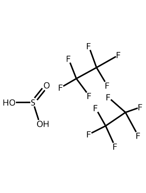 FC(F)(F)C(F)(F)F.FC(F)(F)C(F)(F)F.O=S(O)O